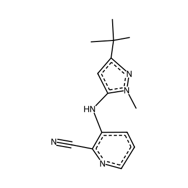 Cn1nc(C(C)(C)C)cc1Nc1cccnc1C#N